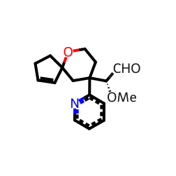 CO[C@@H](C=O)C1(c2ccccn2)CCOC2(C=CCC2)C1